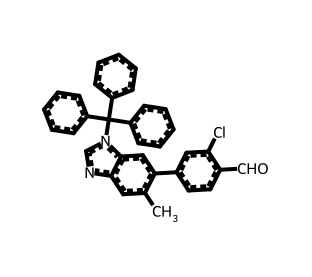 Cc1cc2ncn(C(c3ccccc3)(c3ccccc3)c3ccccc3)c2cc1-c1ccc(C=O)c(Cl)c1